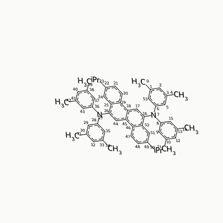 Cc1cc(C)cc(N(c2cc(C)cc(C)c2)c2cc3c4ccc(C(C)C)cc4c(N(c4cc(C)cc(C)c4)c4cc(C)cc(C)c4)cc3c3ccc(C(C)C)cc23)c1